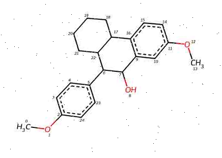 COc1ccc(C2C(O)c3cc(OC)ccc3C3CCCCC32)cc1